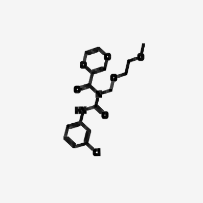 COCCOCN(C(=O)Nc1cccc(Cl)c1)C(=O)C1=COC=CO1